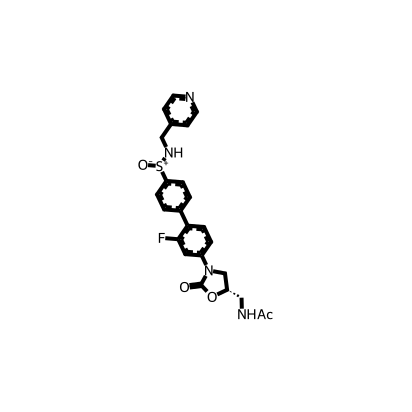 CC(=O)NC[C@H]1CN(c2ccc(-c3ccc([S+]([O-])NCc4ccncc4)cc3)c(F)c2)C(=O)O1